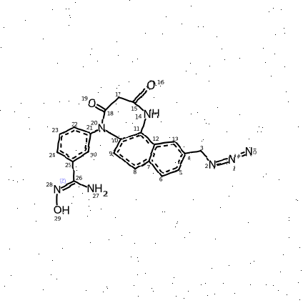 [N-]=[N+]=NCc1ccc2ccc3c(c2c1)NC(=O)CC(=O)N3c1cccc(/C(N)=N/O)c1